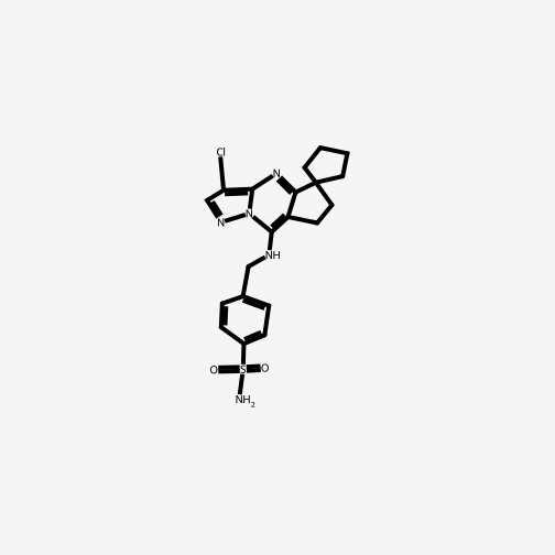 NS(=O)(=O)c1ccc(CNc2c3c(nc4c(Cl)cnn24)C2(CCCC2)CC3)cc1